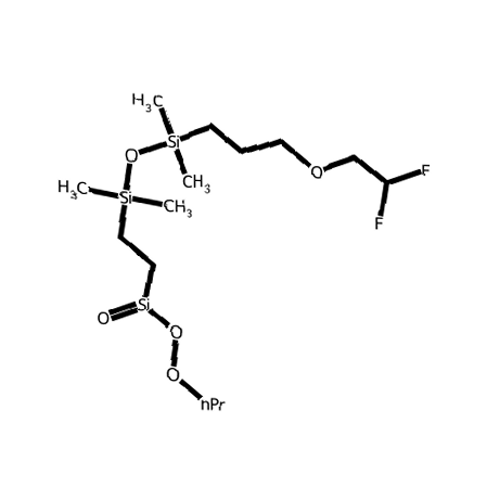 CCCOO[Si](=O)CC[Si](C)(C)O[Si](C)(C)CCCOCC(F)F